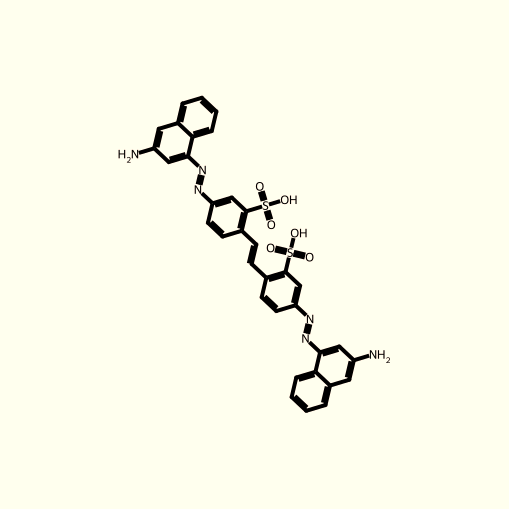 Nc1cc(N=Nc2ccc(C=Cc3ccc(N=Nc4cc(N)cc5ccccc45)cc3S(=O)(=O)O)c(S(=O)(=O)O)c2)c2ccccc2c1